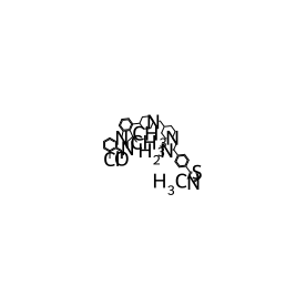 Cc1ncsc1-c1ccc([C@@H](N)CN2CCC(CN3CCC(c4cccc5c4C(C)(C)c4nc(=O)c6c(Cl)cccc6n4-5)CC3)CC2)cc1